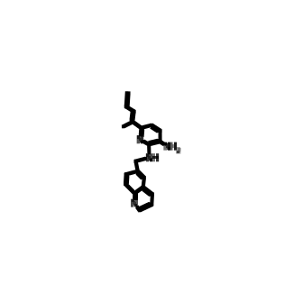 C=C/C=C(\C)c1ccc(N)c(NCc2ccc3ncccc3c2)n1